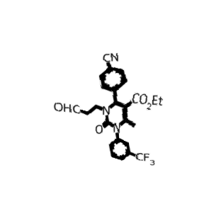 CCOC(=O)C1=C(C)N(c2cccc(C(F)(F)F)c2)C(=O)N(CCC=O)C1c1ccc(C#N)cc1